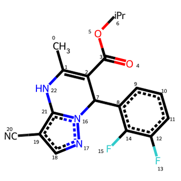 CC1=C(C(=O)OC(C)C)C(c2cccc(F)c2F)n2ncc(C#N)c2N1